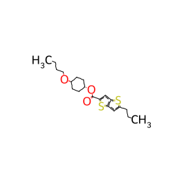 CCCCO[C@H]1CC[C@H](OC(=O)c2cc3sc(CCC)cc3s2)CC1